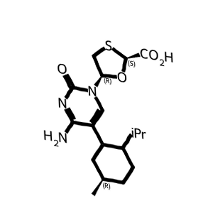 CC(C)C1CC[C@@H](C)CC1c1cn([C@H]2CS[C@@H](C(=O)O)O2)c(=O)nc1N